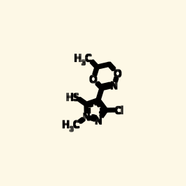 CC1CON=C(c2c(Cl)nn(C)c2S)O1